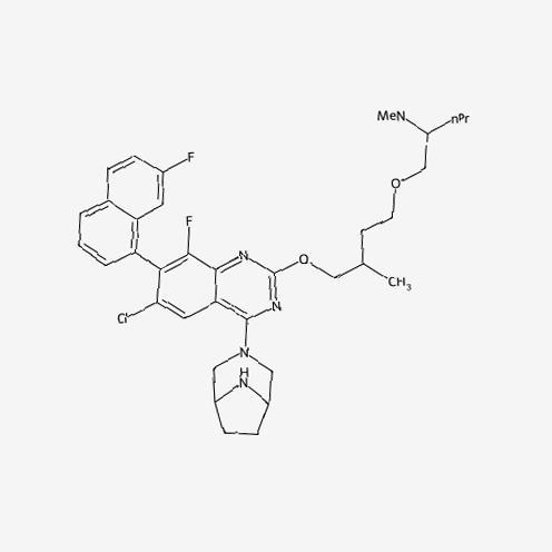 CCCC(COCCC(C)COc1nc(N2CC3CCC(C2)N3)c2cc(Cl)c(-c3cccc4ccc(F)cc34)c(F)c2n1)NC